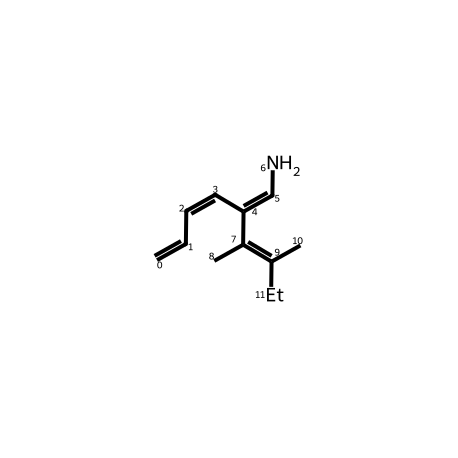 C=C\C=C/C(=C\N)C(/C)=C(\C)CC